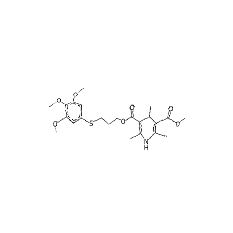 COC(=O)C1=C(C)NC(C)=C(C(=O)OCCCSc2cc(OC)c(OC)c(OC)c2)C1C